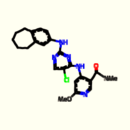 CNC(=O)c1cnc(OC)cc1Nc1nc(Nc2ccc3c(c2)CCCCC3)ncc1Cl